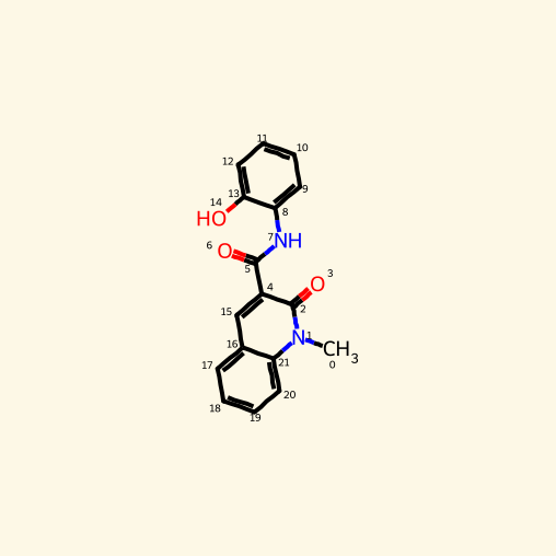 Cn1c(=O)c(C(=O)Nc2ccccc2O)cc2ccccc21